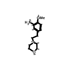 COc1ccc(CCN2CCOCC2)cc1N